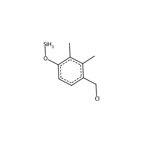 Cc1c(CCl)ccc(O[SiH3])c1C